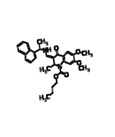 CCCCOC(=O)N1c2cc(OC)c(OC)cc2C(=O)C(=CNC(C)c2cccc3ccccc23)C1C